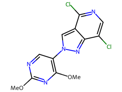 COc1ncc(-n2cc3c(Cl)ncc(Cl)c3n2)c(OC)n1